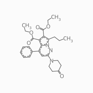 CCCc1c(C(=O)OCC)c(C(=O)OCC)c2c(-c3ccccc3)cc(N3CCC(=O)CC3)nn12